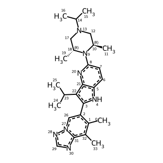 Cc1c(-c2[nH]c3ccc(N4[C@H](C)CN(C(C)C)C[C@H]4C)nc3c2C(C)C)cn2ncnc2c1C